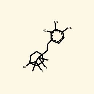 Cc1ccc(CCC23CCC(O)(CC2)C(F)(F)C3(F)F)c(C#N)c1C#N